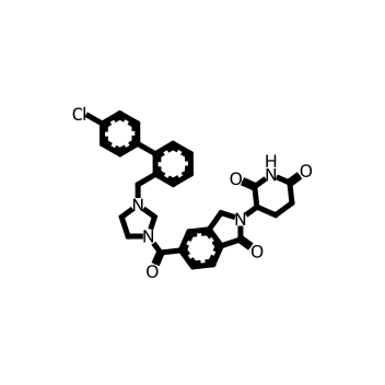 O=C1CCC(N2Cc3cc(C(=O)N4CCN(Cc5ccccc5-c5ccc(Cl)cc5)C4)ccc3C2=O)C(=O)N1